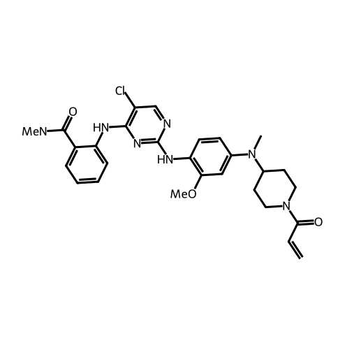 C=CC(=O)N1CCC(N(C)c2ccc(Nc3ncc(Cl)c(Nc4ccccc4C(=O)NC)n3)c(OC)c2)CC1